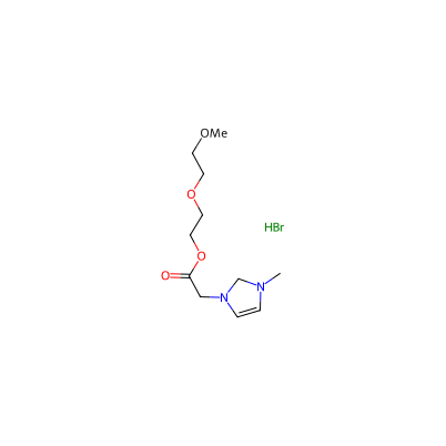 Br.COCCOCCOC(=O)CN1C=CN(C)C1